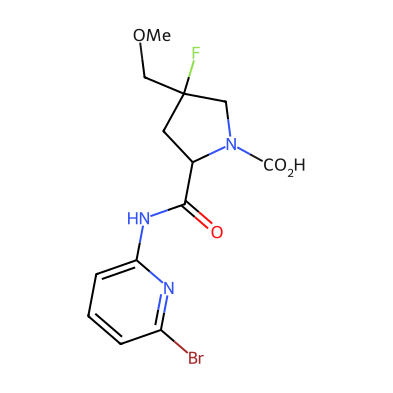 COCC1(F)CC(C(=O)Nc2cccc(Br)n2)N(C(=O)O)C1